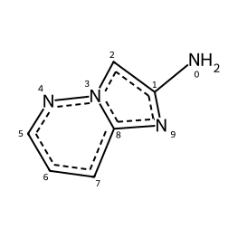 Nc1cn2ncccc2n1